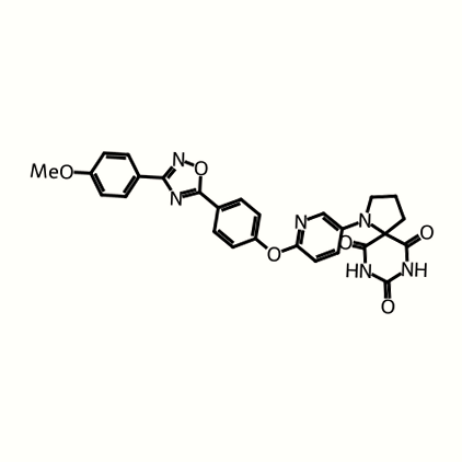 COc1ccc(-c2noc(-c3ccc(Oc4ccc(N5CCCC56C(=O)NC(=O)NC6=O)cn4)cc3)n2)cc1